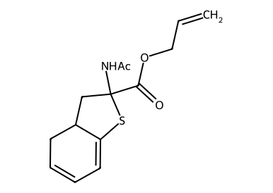 C=CCOC(=O)C1(NC(C)=O)CC2CC=CC=C2S1